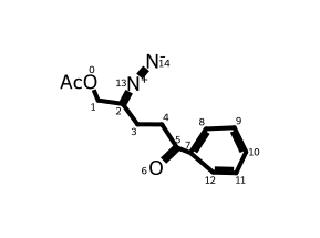 CC(=O)OCC(CCC(=O)c1ccccc1)=[N+]=[N-]